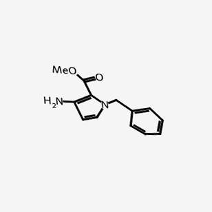 COC(=O)c1c(N)ccn1Cc1ccccc1